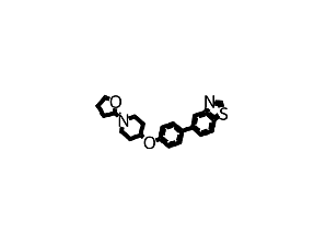 c1nc2cc(-c3ccc(OC4CCN([C]5CCCO5)CC4)cc3)ccc2s1